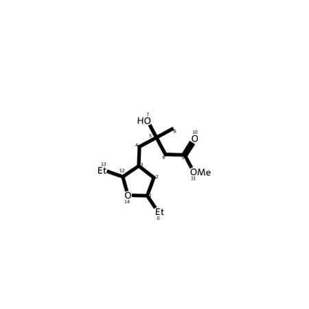 CCC1CC(CC(C)(O)CC(=O)OC)C(CC)O1